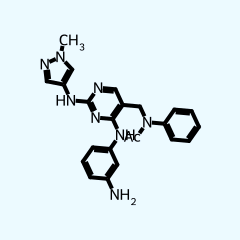 CC(=O)N(Cc1cnc(Nc2cnn(C)c2)nc1Nc1cccc(N)c1)c1ccccc1